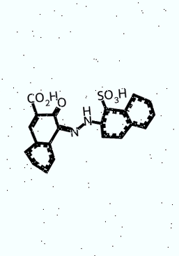 O=C(O)C1=Cc2ccccc2C(=NNc2ccc3ccccc3c2S(=O)(=O)O)C1=O